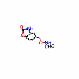 O=CNOCc1ccc2oc(=O)[nH]c2c1